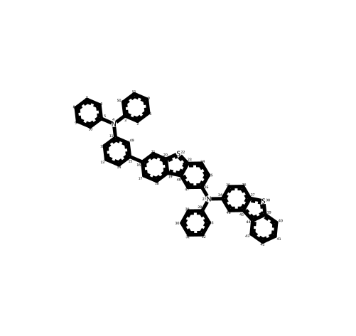 c1ccc(N(c2ccccc2)c2cccc(-c3ccc4c(c3)sc3ccc(N(c5ccccc5)c5ccc6sc7ccccc7c6c5)cc34)c2)cc1